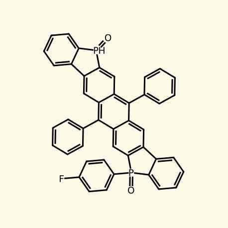 O=[PH]1c2ccccc2-c2cc3c(-c4ccccc4)c4cc5c(cc4c(-c4ccccc4)c3cc21)-c1ccccc1P5(=O)c1ccc(F)cc1